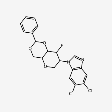 FC1C2OC(c3ccccc3)OCC2OCC1n1cnc2cc(Cl)c(Cl)cc21